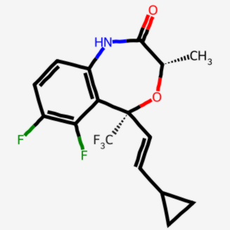 C[C@@H]1O[C@](C=CC2CC2)(C(F)(F)F)c2c(ccc(F)c2F)NC1=O